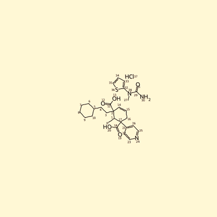 CC1C(CCC2CCCCC2)(C(=O)O)C=CCC1(C(=O)O)c1ccncc1.CN(C(N)=O)c1cccs1.Cl